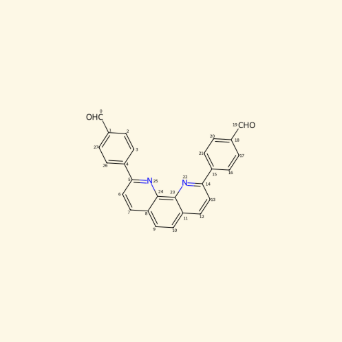 O=Cc1ccc(-c2ccc3ccc4ccc(-c5ccc(C=O)cc5)nc4c3n2)cc1